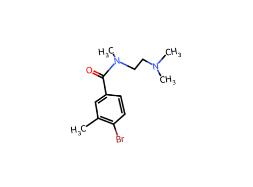 Cc1cc(C(=O)N(C)CCN(C)C)ccc1Br